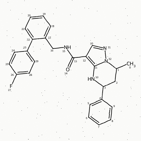 CC1CC(c2ccccc2)Nc2c(C(=O)NCc3ccccc3-c3ccc(F)cc3)cnn21